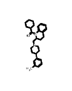 Cc1cccc(C2CCN(CC3CCc4ccccc4N3C(=O)C3CCCCC3)CC2)c1